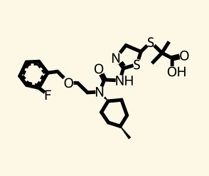 CC(C)(SC1CN=C(NC(=O)N(CCOCc2ccccc2F)[C@H]2CC[C@H](C)CC2)S1)C(=O)O